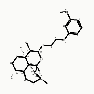 CC(=O)Nc1cccc(OCCO[C@H]2O[C@@H]3O[C@@]4(C)CCC5[C@H](C)CC[C@@H]([C@H]2C)[C@]53OO4)c1